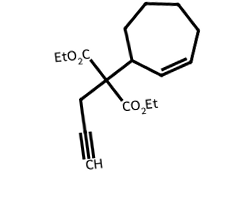 C#CCC(C(=O)OCC)(C(=O)OCC)C1C=CCCCC1